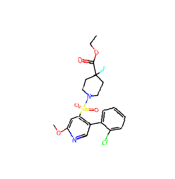 CCOC(=O)C1(F)CCN(S(=O)(=O)c2cc(OC)ncc2-c2ccccc2Cl)CC1